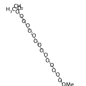 C=C(C)C(=O)OCCOCCOCCOCCOCCOCCOCCOCCOCCOCCOCCOCCOCCOCCOCCOC